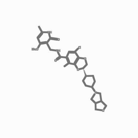 COc1cc(C)[nH]c(=O)c1CNC(=O)c1cc(Cl)c2c(c1C)O[C@@H](C1CCC(N3CC4COCC4C3)CC1)CO2